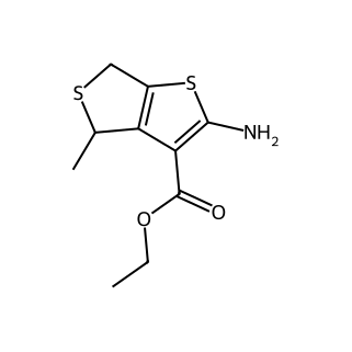 CCOC(=O)c1c(N)sc2c1C(C)SC2